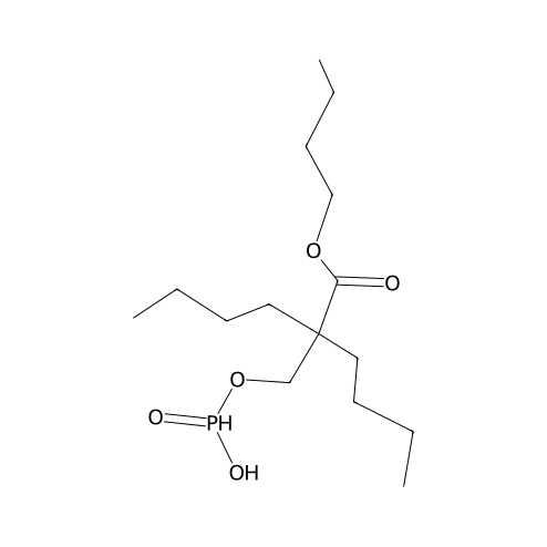 CCCCOC(=O)C(CCCC)(CCCC)CO[PH](=O)O